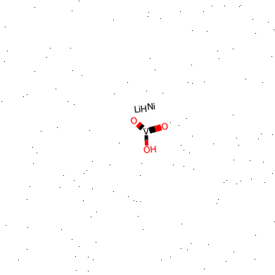 [LiH].[Ni].[O]=[V](=[O])[OH]